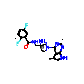 Cc1c[nH]c2ncnc(N3CC[C@](N)(CNC(=O)c4cc(F)ccc4F)C3)c12